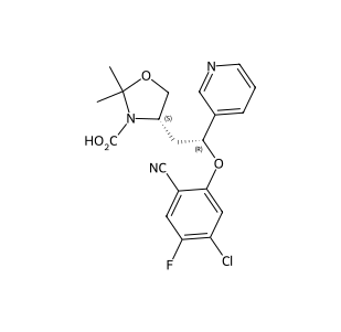 CC1(C)OC[C@H](C[C@@H](Oc2cc(Cl)c(F)cc2C#N)c2cccnc2)N1C(=O)O